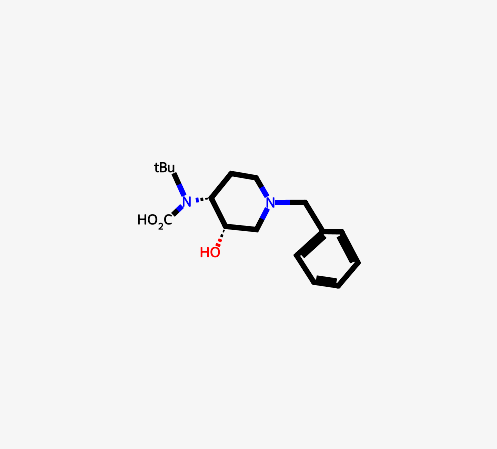 CC(C)(C)N(C(=O)O)[C@@H]1CCN(Cc2ccccc2)C[C@@H]1O